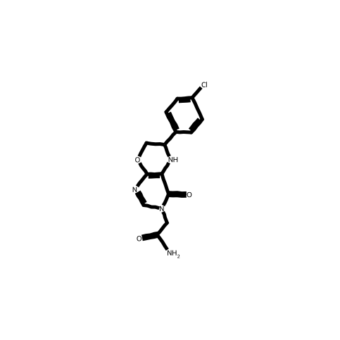 NC(=O)Cn1cnc2c(c1=O)NC(c1ccc(Cl)cc1)CO2